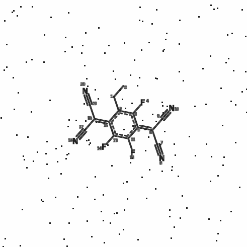 CCc1c(F)c(=C(C#N)C#N)c(F)c(F)c1=C(C#N)C#N